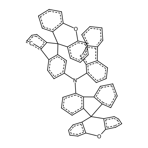 c1ccc2c(c1)Oc1ccccc1C21c2ccccc2-c2ccc(N(c3cccc4c3-c3ccccc3C43c4ccccc4Oc4ccccc43)c3cccc4c3sc3ccccc34)cc21